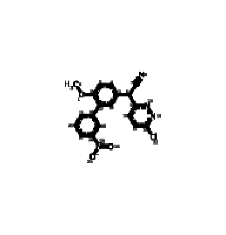 COc1ccc(C(C#N)c2ccc(Cl)nn2)cc1-c1cccc([N+](=O)[O-])c1